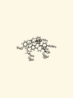 COc1ccc(CN(Cc2ccc(OC)cc2)S(=O)(=O)c2c(SCC3CN(C(=O)OC(C)(C)C)C3)ccc(C3CCC(NC(=O)OC(C)(C)C)CC3)c2-c2nnnn2Cc2ccc(OC)cc2)cc1